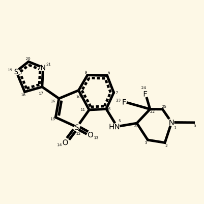 CN1CCC(Nc2cccc3c2S(=O)(=O)C=C3c2cscn2)C(F)(F)C1